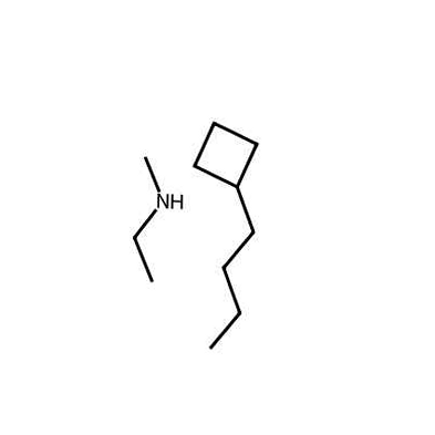 CCCCC1CCC1.CCNC